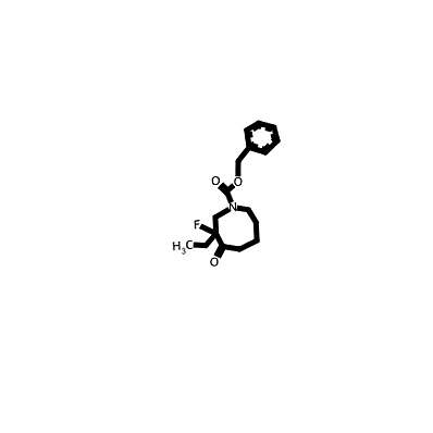 CCC1(F)CN(C(=O)OCc2ccccc2)CCCCC1=O